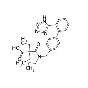 CCCN(Cc1ccc(-c2ccccc2-c2nnn[nH]2)cc1)C(=O)C(CC)(CC)C(=O)O